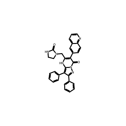 O=C1NCCN1Cc1[nH]c2c(-c3ccccc3)c(-c3ccccc3)nn2c(=O)c1-c1ccc2ncccc2c1